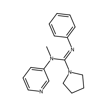 CN(C(=Nc1ccccc1)N1CCCC1)c1cccnc1